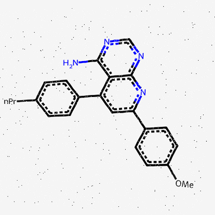 CCCc1ccc(-c2cc(-c3ccc(OC)cc3)nc3ncnc(N)c23)cc1